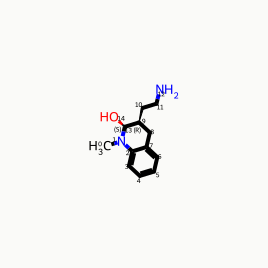 CN1c2ccccc2C[C@H](CCN)[C@@H]1O